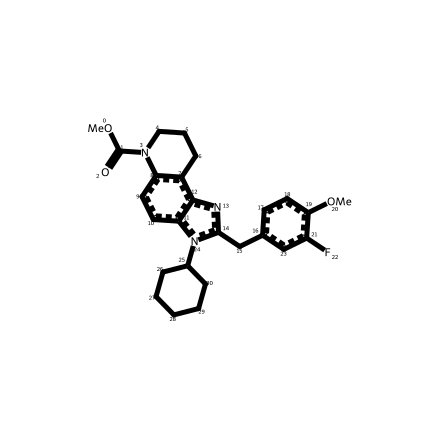 COC(=O)N1CCCc2c1ccc1c2nc(Cc2ccc(OC)c(F)c2)n1C1CCCCC1